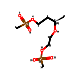 C[C@@H](CCOS(C)(=O)=O)OCCOS(C)(=O)=O